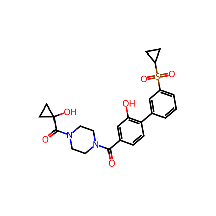 O=C(c1ccc(-c2cccc(S(=O)(=O)C3CC3)c2)c(O)c1)N1CCN(C(=O)C2(O)CC2)CC1